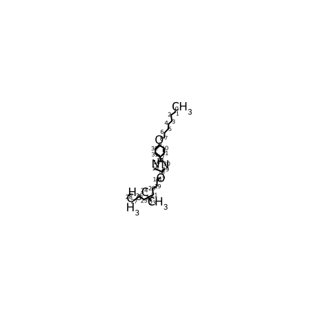 CCCCCCCCOc1ccc(-c2ncc(OCCCCC(C)(C)CCCC)cn2)cc1